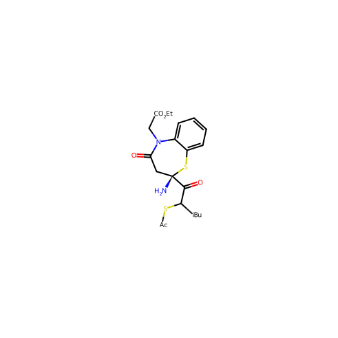 CCOC(=O)CN1C(=O)C[C@@](N)(C(=O)C(SC(C)=O)C(C)CC)Sc2ccccc21